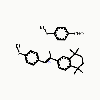 CCSc1ccc(/C=C(\C)c2ccc3c(c2)C(C)(C)CCC3(C)C)cc1.CCSc1ccc(C=O)cc1